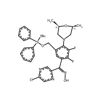 C[C@@H]1CN(c2c(CO[Si](c3ccccc3)(c3ccccc3)C(C)(C)C)cc(C(=NO)c3cnc(Cl)cn3)c(F)c2F)C[C@H](C)O1